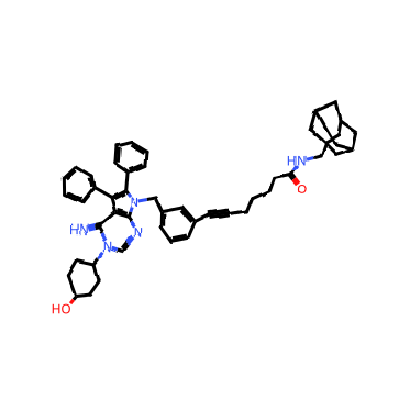 N=c1c2c(-c3ccccc3)c(-c3ccccc3)n(Cc3cccc(C#CCCCCC(=O)NCC45CC6CC(CC(C6)C4)C5)c3)c2ncn1C1CCC(O)CC1